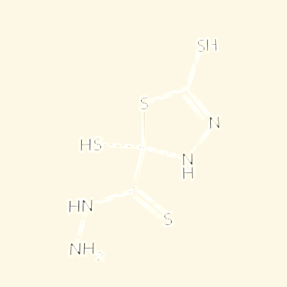 NNC(=S)C1(S)NN=C(S)S1